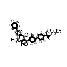 CCOC(=O)CC1(c2ccc(-c3ccc(-c4onc(C)c4C(O)c4nnc(-c5ccccc5)o4)cc3)cc2)CC1